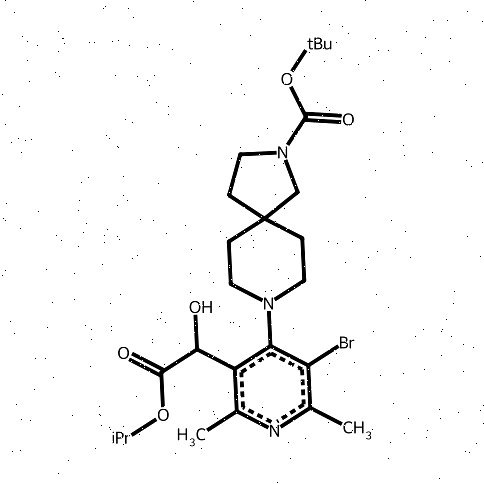 Cc1nc(C)c(C(O)C(=O)OC(C)C)c(N2CCC3(CCN(C(=O)OC(C)(C)C)C3)CC2)c1Br